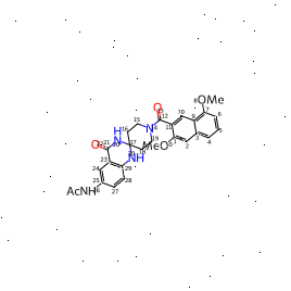 COc1cc2cccc(OC)c2cc1C(=O)N1CCC2(CC1)NC(=O)c1cc(NC(C)=O)ccc1N2